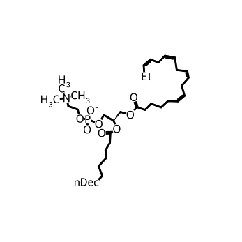 CC/C=C\C/C=C\C/C=C\C/C=C\CCCCC(=O)OC[C@H](COP(=O)([O-])OCC[N+](C)(C)C)OC(=O)CCCCCCCCCCCCCCC